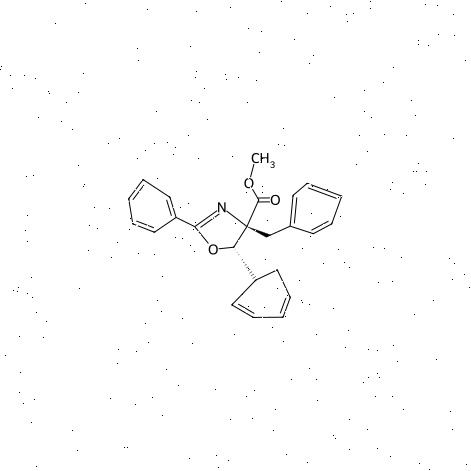 COC(=O)[C@@]1(Cc2ccccc2)N=C(c2ccccc2)O[C@H]1C1C=CC=CC1